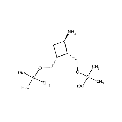 CC(C)(C)[Si](C)(C)OC[C@@H]1C[C@@H](N)[C@@H]1CO[Si](C)(C)C(C)(C)C